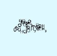 C[C@@H](O)[C@H](N)C(=O)NCCCCC(=O)N(C[C@H]1CN(c2ccc(N3CCOCC3=O)cc2)C(=O)O1)C(=O)c1ccc(Cl)s1.Cl